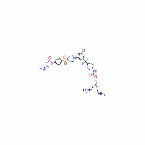 NCCN(CCN)CCOC(=O)NC1CCC(C(F)(F)c2cc(Cl)nc(N3CCN(S(=O)(=O)c4ccc(N5C[C@H](N)CC5=O)cc4)CC3)c2)CC1